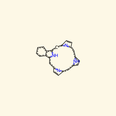 C1=Cc2cc3[nH]c(cc4nc(cc5ccc(cc1n2)[nH]5)C=C4)c1ccccc31